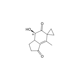 CC1=C2C(=O)CCC2[C@@H](O)C(=O)C12CC2